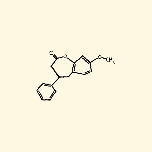 COc1ccc2c(c1)OC(=O)CC(c1ccccc1)C2